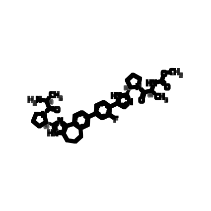 COC(=O)N[C@@H](C)C(=O)N1CCC[C@H]1c1ncc(-c2ccc(-c3ccc4c(c3)CCCc3[nH]c([C@@H]5CCCN5C(=O)[C@H](C)N)nc3-4)cc2F)[nH]1